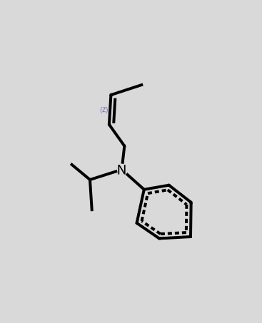 C/C=C\CN(c1ccccc1)C(C)C